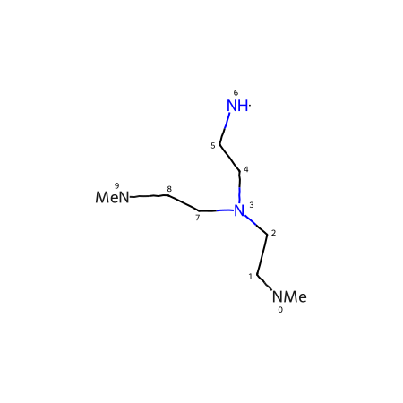 CNCCN(CC[NH])CCNC